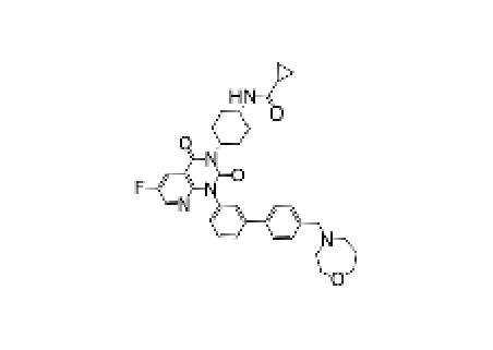 O=C(N[C@H]1CC[C@@H](n2c(=O)c3cc(F)cnc3n(-c3cccc(-c4ccc(CN5CCCOCC5)cc4)c3)c2=O)CC1)C1CC1